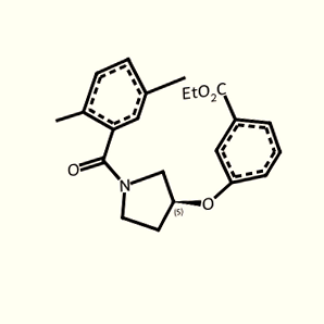 CCOC(=O)c1cccc(O[C@H]2CCN(C(=O)c3cc(C)ccc3C)C2)c1